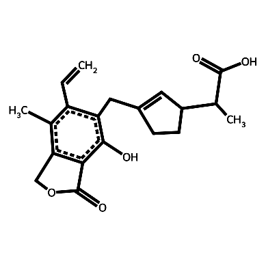 C=Cc1c(C)c2c(c(O)c1CC1=CC(C(C)C(=O)O)CC1)C(=O)OC2